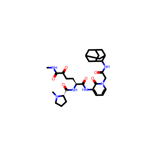 CNC(=O)C(=O)CC[C@H](NC(=O)[C@@H]1CCCN1C)C(=O)Nc1cccn(CC(=O)NC2C3CC4CC(C3)CC2C4)c1=O